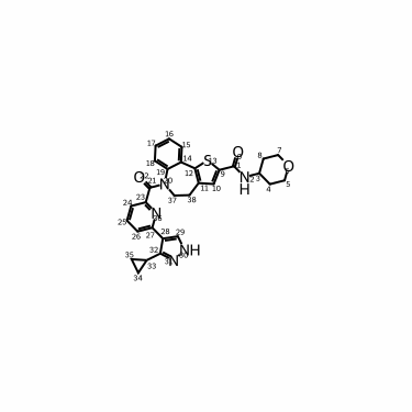 O=C(NC1CCOCC1)c1cc2c(s1)-c1ccccc1N(C(=O)c1cccc(-c3c[nH]nc3C3CC3)n1)CC2